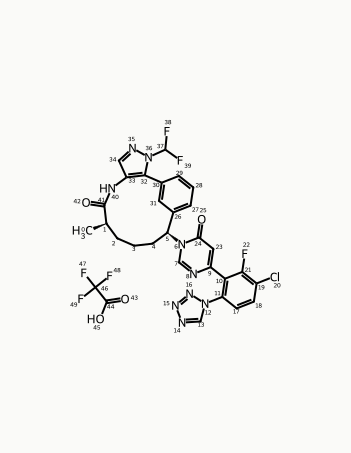 C[C@@H]1CCC[C@H](n2cnc(-c3c(-n4cnnn4)ccc(Cl)c3F)cc2=O)c2cccc(c2)-c2c(cnn2C(F)F)NC1=O.O=C(O)C(F)(F)F